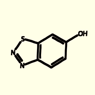 Oc1ccc2nnsc2c1